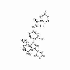 Cc1ccc(C)c(C(=O)NCc2cnc(-c3cn(C4CCCC4)c4c(=O)[nH]nc(N)c34)c(F)c2)c1